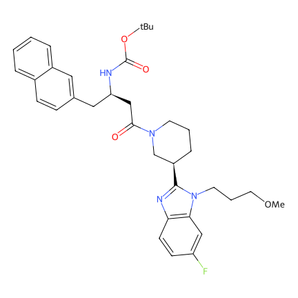 COCCCn1c([C@@H]2CCCN(C(=O)C[C@@H](Cc3ccc4ccccc4c3)NC(=O)OC(C)(C)C)C2)nc2ccc(F)cc21